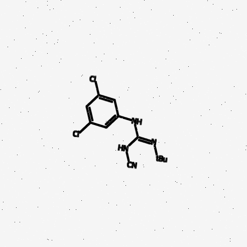 CC(C)(C)/N=C(\NC#N)Nc1cc(Cl)cc(Cl)c1